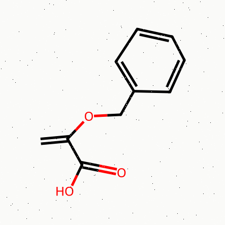 C=C(OCc1ccccc1)C(=O)O